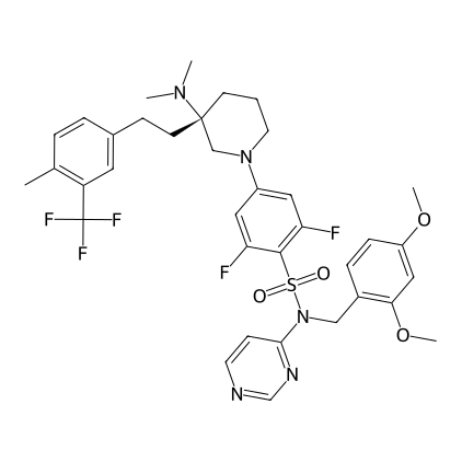 COc1ccc(CN(c2ccncn2)S(=O)(=O)c2c(F)cc(N3CCC[C@@](CCc4ccc(C)c(C(F)(F)F)c4)(N(C)C)C3)cc2F)c(OC)c1